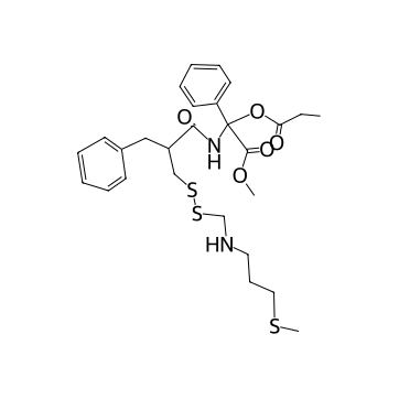 CCC(=O)OC(NC(=O)C(CSSCNCCCSC)Cc1ccccc1)(C(=O)OC)c1ccccc1